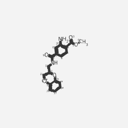 COC(=O)c1ccc(C(=O)NCC2COc3ccccc3O2)cc1N